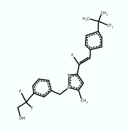 Cc1cc(C(F)=Cc2ccc(C(C)(C)C(F)(F)F)cc2)nn1Cc1cccc(C(F)(F)CO)c1